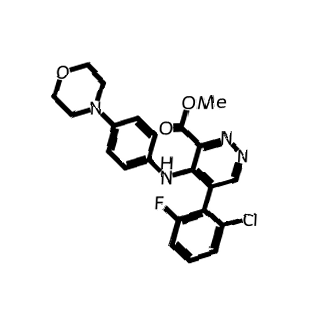 COC(=O)c1nncc(-c2c(F)cccc2Cl)c1Nc1ccc(N2CCOCC2)cc1